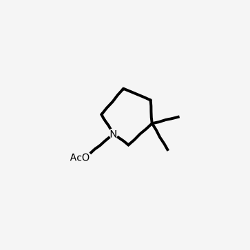 CC(=O)ON1CCCC(C)(C)C1